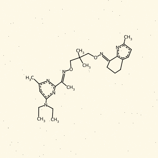 CCN(CC)c1cc(C)nc(/C(C)=N/OCC(C)(C)CO/N=C2\CCCc3ccc(C)nc32)n1